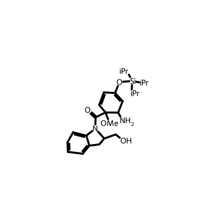 COC1(C(=O)N2c3ccccc3CC2CO)C=CC(O[Si](C(C)C)(C(C)C)C(C)C)=CC1N